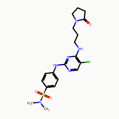 CN(C)S(=O)(=O)c1ccc(Nc2ncc(Br)c(NCCCN3CCCC3=O)n2)cc1